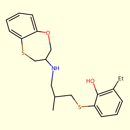 CCc1cccc(SCC(C)CNC2COc3ccccc3SC2)c1O